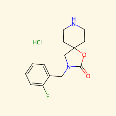 Cl.O=C1OC2(CCNCC2)CN1Cc1ccccc1F